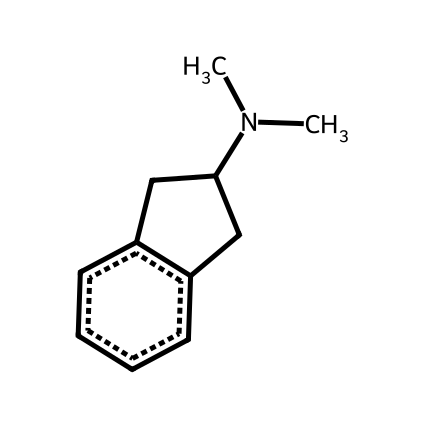 CN(C)C1Cc2ccccc2C1